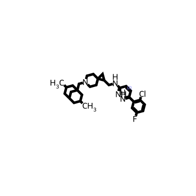 CC1CC2CC(C)CC(CN3CCC4(CC3)CC4CNC(=N)/C=C\C(=N)c3cc(F)ccc3Cl)(C1)C2